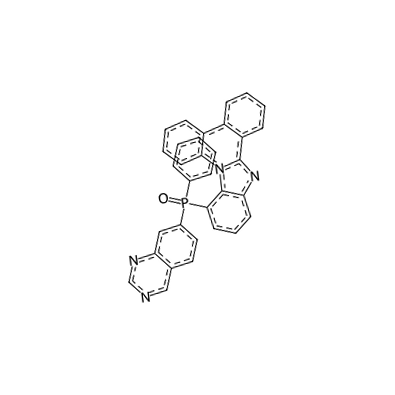 O=P(c1ccccc1)(c1ccc2cncnc2c1)c1cccc2nc3c4ccccc4c4ccccc4n3c12